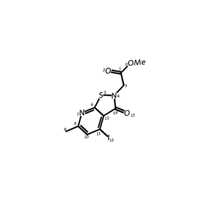 COC(=O)Cn1sc2nc(C)cc(I)c2c1=O